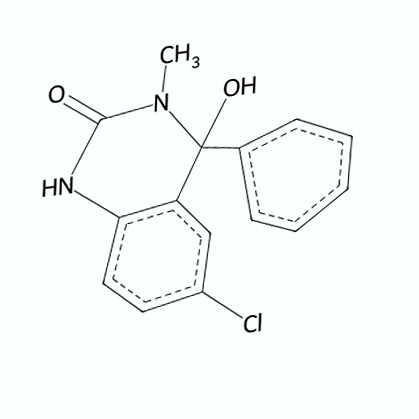 CN1C(=O)Nc2ccc(Cl)cc2C1(O)c1ccccc1